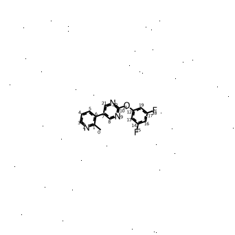 Cc1ncccc1-c1cnc(Oc2cc(F)cc(F)c2)nc1